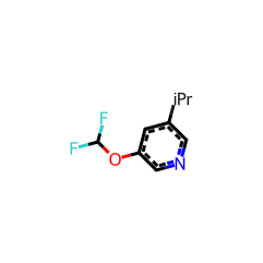 CC(C)c1cncc(OC(F)F)c1